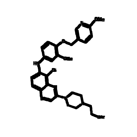 COc1ccc(COc2ccc(Nc3ccc4ncc(N5CCN(CCOC(C)=O)CC5)nc4c3C#N)cc2OC)cn1